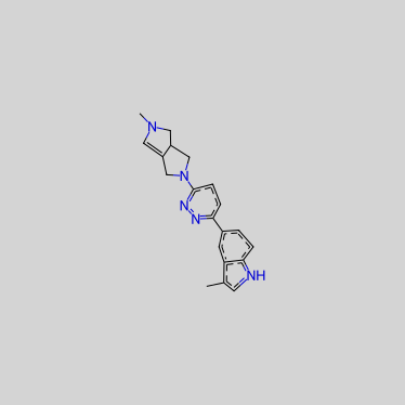 Cc1c[nH]c2ccc(-c3ccc(N4CC5=CN(C)CC5C4)nn3)cc12